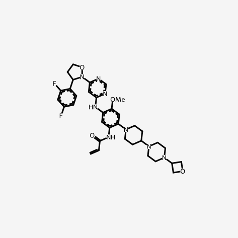 C=CC(=O)Nc1cc(Nc2cc(N3OCCC3c3ccc(F)cc3F)ncn2)c(OC)cc1N1CCC(N2CCN(C3COC3)CC2)CC1